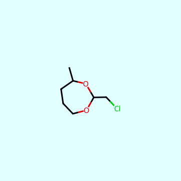 CC1CCCOC(CCl)O1